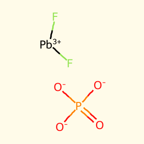 O=P([O-])([O-])[O-].[F][Pb+3][F]